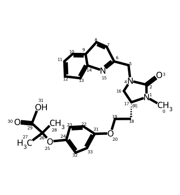 CN1C(=O)N(Cc2ccc3ccccc3n2)C[C@H]1CCOc1ccc(OC(C)(C)C(=O)O)cc1